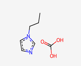 CCCn1ccnc1.O=C(O)O